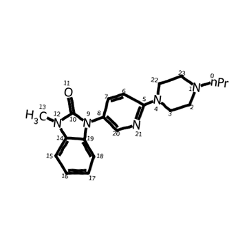 CCCN1CCN(c2ccc(-n3c(=O)n(C)c4ccccc43)cn2)CC1